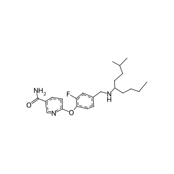 CCCCC(CCC(C)C)NCc1ccc(Oc2ccc(C(N)=O)cn2)c(F)c1